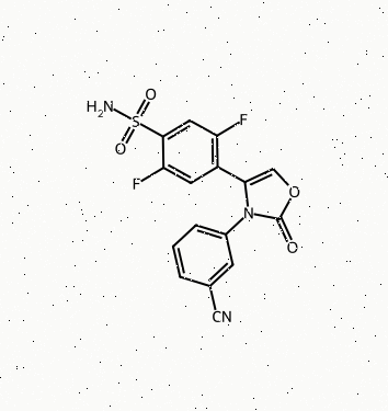 N#Cc1cccc(-n2c(-c3cc(F)c(S(N)(=O)=O)cc3F)coc2=O)c1